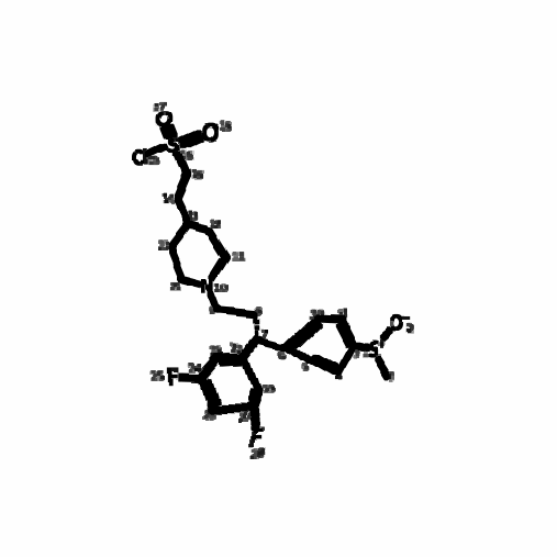 C[S+]([O-])c1ccc([C@@H](CCN2CCC(CCS(=O)(=O)Cl)CC2)c2cc(F)cc(F)c2)cc1